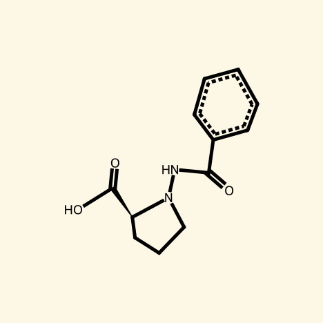 O=C(NN1CCC[C@H]1C(=O)O)c1ccccc1